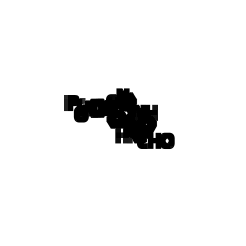 CC(C)C(=O)N1CCN(C(=O)c2cccc(C3C4=NNC(C=O)c5cccc(c54)NC3c3ccncc3)c2)CC1